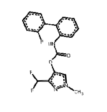 Cn1cc(OC(=O)Nc2ccccc2-c2ccccc2F)c(C(F)F)n1